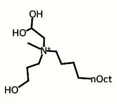 CCCCCCCCCCCC[N+](C)(CCCO)CC(O)O